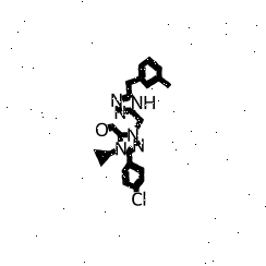 Cc1cccc(Cc2nnc(CN3N=C(c4ccc(Cl)cc4)N(C4CC4)C3C=O)[nH]2)c1